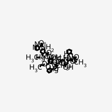 CC(=O)[O][Hg][c]1ccccc1.CCCOC(=O)c1cc(O)c(O)c(O)c1.COC(=O)[C@@H](Cc1ccccc1)NC(=O)[C@@H](CC(=O)O)NCCC(C)(C)C.C[CH2][Hg][S]c1ccccc1C(=O)[O-].NC(=O)c1cccnc1.[Na+]